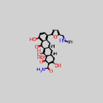 CC(C)NCc1ccc(-c2ccc(O)c3c2C[C@H]2C[C@H]4CC(O)=C(C(N)=O)C(=O)[C@@]4(O)C(O)=C2C3=O)o1